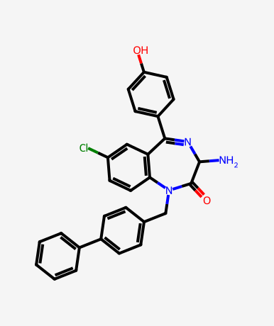 NC1N=C(c2ccc(O)cc2)c2cc(Cl)ccc2N(Cc2ccc(-c3ccccc3)cc2)C1=O